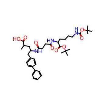 CC(CC(Cc1ccc(-c2ccccc2)cc1)NC(=O)CCC(=O)NC(CCCCNC(=O)OC(C)(C)C)C(=O)OC(C)(C)C)C(=O)O